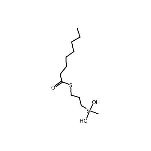 CCCCCCCC(=O)SCCC[Si](C)(O)O